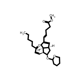 CCCCCC(=O)/C=C\[C@H]1[C@H]2CC(C=CCCC(=O)OC)=C[C@H]2C[C@H]1OC1CCCCO1